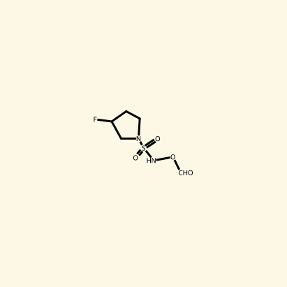 O=CONS(=O)(=O)N1CCC(F)C1